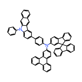 c1ccc(-n2c3ccc(-c4ccc(N(c5ccc6c(c5)C5(c7ccccc7-c7ccccc75)c5ccccc5-6)c5ccc6c7ccccc7c7ccccc7c6c5)cc4)cc3c3cc4ccccc4cc32)cc1